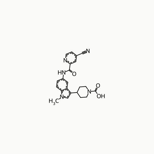 Cn1cc(C2CCN(C(=O)O)CC2)c2cc(NC(=O)c3cc(C#N)ccn3)ccc21